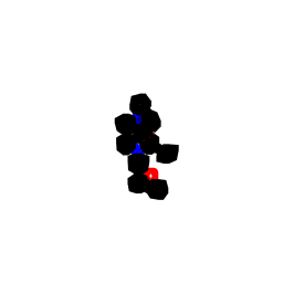 C1=Cc2c(n(-c3ccccc3-c3ccccc3-c3ccccc3N(c3ccc(-c4cccc5c4oc4ccccc45)cc3)c3cccc(-c4ccccc4)c3)c3ccccc23)CC1